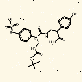 CC(C)(C)OC(=O)NC[C@@H](C(=O)NCC(C(N)=O)c1ccc(O)cc1)c1ccc(NS(=O)(=O)O)cc1